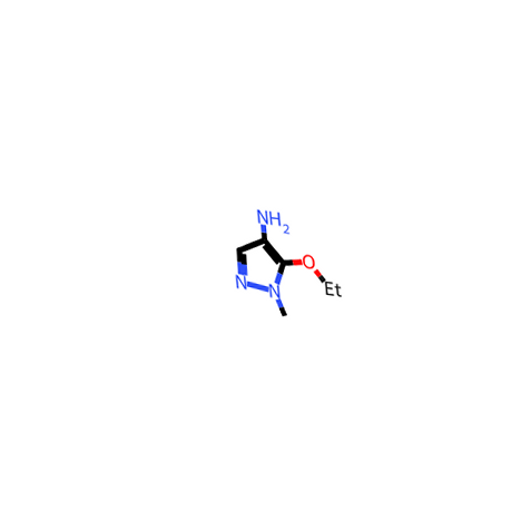 CCOc1c(N)cnn1C